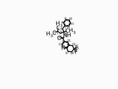 CC(C)CC(C)(Cc1ccccc1)NC(=O)c1cnc2c(c1)CC(F)(F)CC2